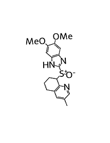 COc1cc2nc([S+]([O-])C3CCCc4cc(C)cnc43)[nH]c2cc1OC